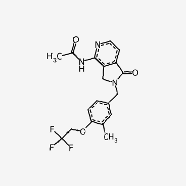 CC(=O)Nc1nccc2c1CN(Cc1ccc(OCC(F)(F)F)c(C)c1)C2=O